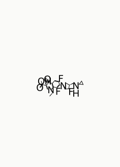 CCn1cc(C(=O)O)c(=O)c2cc(F)c(N3C[C@@H](CNC4CC4)[C@H](F)C3)c(F)c21